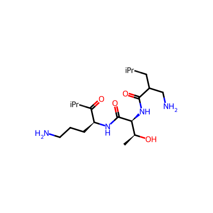 CC(C)CC(CN)C(=O)N[C@H](C(=O)N[C@@H](CCCN)C(=O)C(C)C)[C@H](C)O